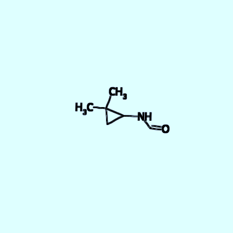 CC1(C)CC1NC=O